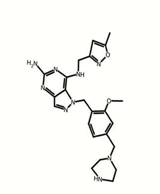 COc1cc(CN2CCNCC2)ccc1Cn1ncc2nc(N)nc(NCc3cc(C)on3)c21